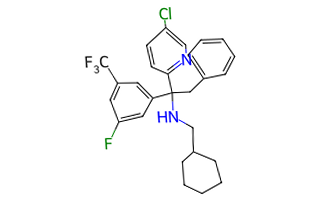 Fc1cc(C(F)(F)F)cc(C(Cc2ccccc2)(NCC2CCCCC2)c2ccc(Cl)cn2)c1